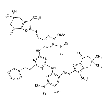 CCN(CC)c1cc(Nc2nc(Nc3cc(N(CC)CC)c(OC)cc3/N=N/c3sc4c(c3S(=O)(=O)O)CC(C)(C)CC4=O)nc(SCc3ccccc3)n2)c(/N=N/c2sc3c(c2S(=O)(=O)O)CC(C)(C)CC3=O)cc1OC